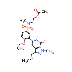 CCCc1nn(C)c2c(=O)[nH]c(-c3cc(S(=O)(=O)N(C)CCOC(C)=O)ccc3OCC)cc12